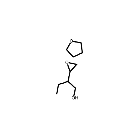 C1CCOC1.CCC(CO)C1CO1